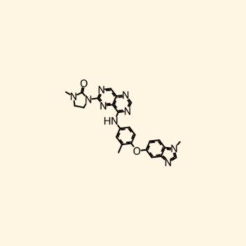 Cc1cc(Nc2ncnc3cnc(N4CCN(C)C4=O)nc23)ccc1Oc1ccc2c(c1)ncn2C